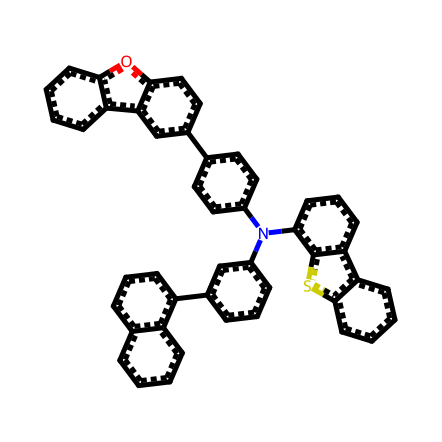 c1cc(-c2cccc3ccccc23)cc(N(c2ccc(-c3ccc4oc5ccccc5c4c3)cc2)c2cccc3c2sc2ccccc23)c1